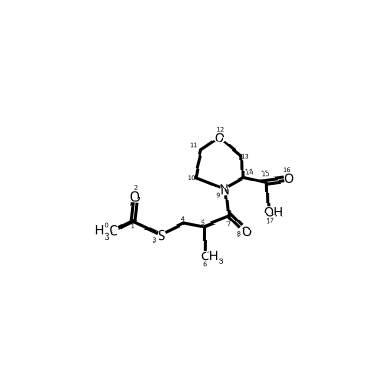 CC(=O)SCC(C)C(=O)N1CCOCC1C(=O)O